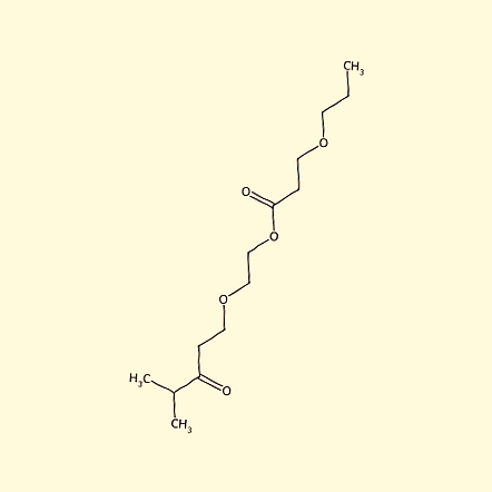 CCCOCCC(=O)OCCOCCC(=O)C(C)C